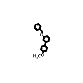 COc1ccc(-c2cccc(OCc3ccccc3)c2)cc1